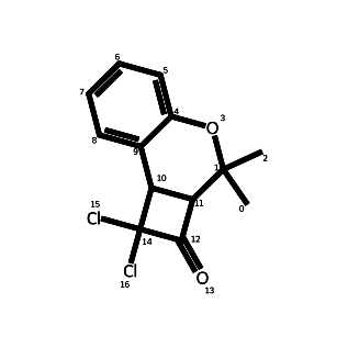 CC1(C)Oc2ccccc2C2C1C(=O)C2(Cl)Cl